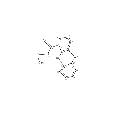 CCCCCCCCCCCOC(=O)c1cccc2c1Cc1ccccc1O2